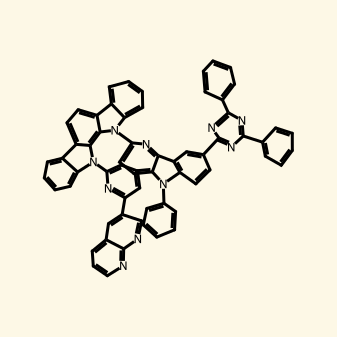 c1ccc(-c2nc(-c3ccccc3)nc(-c3ccc4c(c3)c3nc(-n5c6ccccc6c6ccc7c8ccccc8n(-c8cccc(-c9cnc%10ncccc%10c9)n8)c7c65)ccc3n4-c3ccccc3)n2)cc1